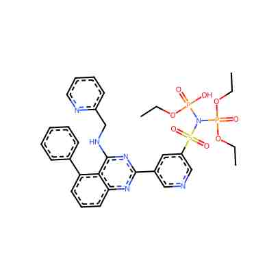 CCOP(=O)(O)N(P(=O)(OCC)OCC)S(=O)(=O)c1cncc(-c2nc(NCc3ccccn3)c3c(-c4ccccc4)cccc3n2)c1